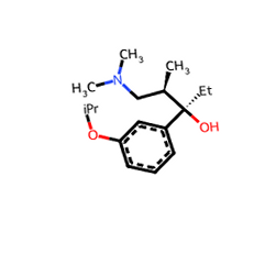 CC[C@](O)(c1cccc(OC(C)C)c1)[C@H](C)CN(C)C